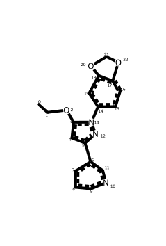 CCOc1cc(-c2cccnc2)nn1-c1ccc2c(c1)OCO2